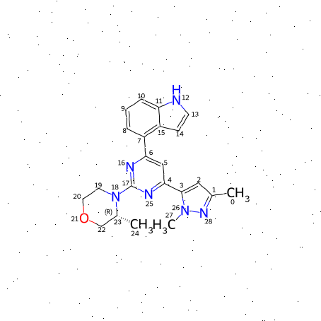 Cc1cc(-c2cc(-c3cccc4[nH]ccc34)nc(N3CCOC[C@H]3C)n2)n(C)n1